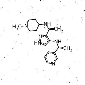 C=C(Nc1c[nH]nc1C(=C)NC1CCN(C)CC1)c1cccnc1